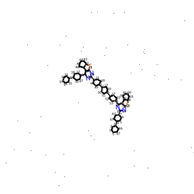 c1ccc(-c2ccc(-c3nc(-c4ccc(-c5ccc(-c6ccc(-c7nc(-c8ccc(-c9ccccc9)cc8)c8c(n7)sc7ccccc78)cc6)cc5)cc4)c4c(n3)sc3ccccc34)cc2)cc1